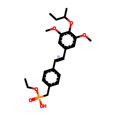 CCOP(=O)(O)Cc1ccc(/C=C/c2cc(OC)c(OC(C)CC)c(OC)c2)cc1